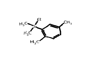 CCS(C)(C)c1cc(C)ccc1C